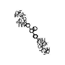 COC(=O)N[C@H](C(=O)N1C[C@@H](C)C[C@H]1c1ncc(-c2ccc(-c3ccc(-c4ccc5nc([C@@H]6C[C@H](C)CN6C(=O)[C@@H](NC(=O)OC)C(C)C)[nH]c5c4)c4c3C3CCC4CC3)cc2)[nH]1)C(C)C